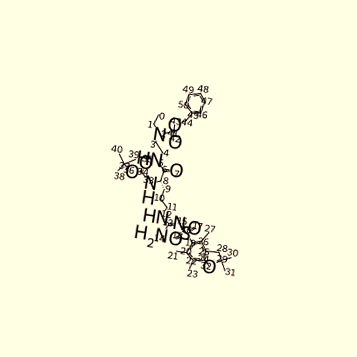 CCN(CCNC(=O)[C@H](CCCN/C(N)=N/S(=O)(=O)c1c(C)c(C)c2c(c1C)CC(C)(C)O2)NC(=O)OC(C)(C)C)C(=O)OCc1ccccc1